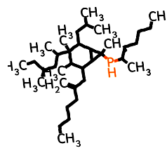 C=C(CCCCC)CC1C2C(C(CC(C)C)C(C)(C(C)CC(C)CC)C1C)C2(C)PC(C)CCCCC